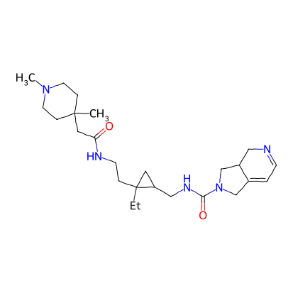 CCC1(CCNC(=O)CC2(C)CCN(C)CC2)CC1CNC(=O)N1CC2=CC=NCC2C1